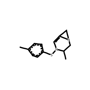 Cc1ccc(SN2C=C3CN3CC2C)cc1